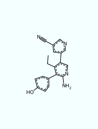 CCc1c(-c2cncc(C#N)c2)cnc(N)c1-c1ccc(O)cc1